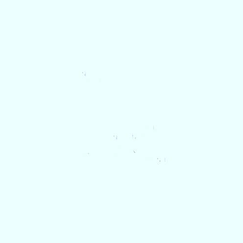 CC(=O)N[C@@H](CCC(N)=O)C(=O)Nc1cc(Cl)cc(CCCCCC(N)=O)c1